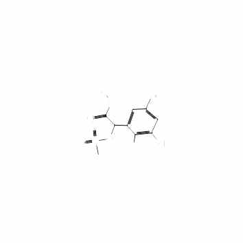 CC(C)(C)OC(=O)C(OS(C)(=O)=O)c1cc(Br)cc(Cl)c1F